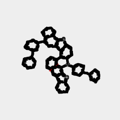 c1ccc(-c2ccc(N(c3ccc4oc5c6ccccc6c(-c6cccc(-c7ccccc7)c6)cc5c4c3-c3ccccc3)c3cccc4c3oc3ccccc34)cc2)cc1